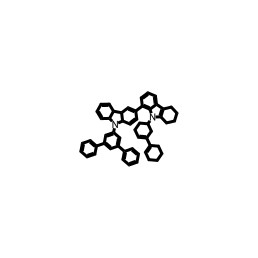 C1=CC2C3C=C(c4cccc5c6c(n(C7CCC=C(C8=CCCCC8)C7)c45)CCCC6)C=CC3N(c3cc(-c4ccccc4)cc(-c4ccccc4)c3)C2C=C1